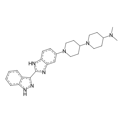 CN(C)C1CCN(C2CCN(c3ccc4[nH]c(-c5n[nH]c6ccccc56)nc4c3)CC2)CC1